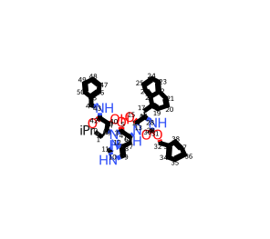 CC(C)C[C@H](NC(=O)[C@H](Cc1c[nH]cn1)NC(=O)[C@H](Cc1cccc2ccccc12)NC(=O)OCc1ccccc1)[C@H](O)C(=O)NCc1ccccc1